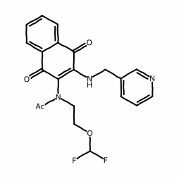 CC(=O)N(CCOC(F)F)C1=C(NCc2cccnc2)C(=O)c2ccccc2C1=O